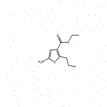 CCOC(=O)c1nc(N)oc1CCF